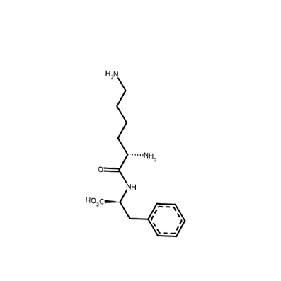 NCCCC[C@H](N)C(=O)N[C@@H](Cc1ccccc1)C(=O)O